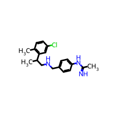 CC(=N)Nc1ccc(CNCC(C)c2cc(Cl)ccc2C)cc1